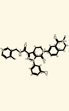 Cc1ccncc1CNC(=O)c1nn(-c2cccc(Cl)c2)c2c1CCN(c1ccc3c(c1)C(=O)N(C)CC3)C2=O